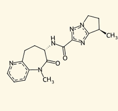 C[C@@H]1CCn2nc(C(=O)N[C@H]3CCc4ncccc4N(C)C3=O)nc21